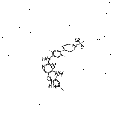 Cc1cc(Nc2nc(Nc3cc(C)c(C4CCN(S(C)(=O)=O)CC4)cc3C)ncc2Cl)n[nH]1